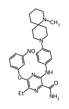 CCc1nc(C(N)=O)c(Nc2ccc(N3CCC4(CCCCN4C)CC3)cc2)nc1Oc1cccc([N+](=O)[O-])c1